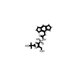 CC(C)(O)c1nc(CO)c([S@](=N)(=O)NC(=O)Cc2c3c(cc4c2CCC4)CCC3)s1